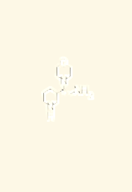 NC[C@H](C1CCCNC1)N1CCOCC1